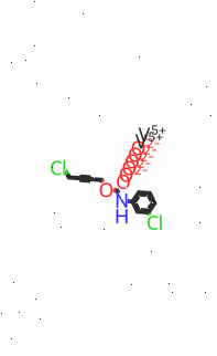 O=C(Nc1cccc(Cl)c1)OCC#CCCl.[O-2].[O-2].[O-2].[O-2].[O-2].[V+5].[V+5]